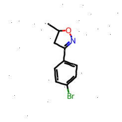 [CH2]C1CC(c2ccc(Br)cc2)=NO1